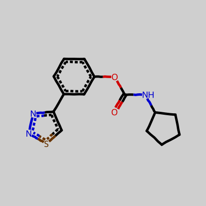 O=C(NC1CCCC1)Oc1cccc(-c2csnn2)c1